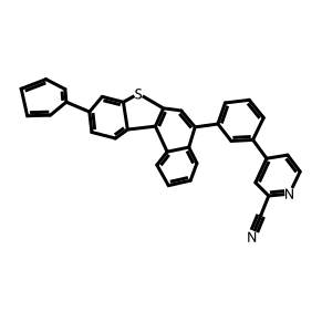 N#Cc1cc(-c2cccc(-c3cc4sc5cc(-c6ccccc6)ccc5c4c4ccccc34)c2)ccn1